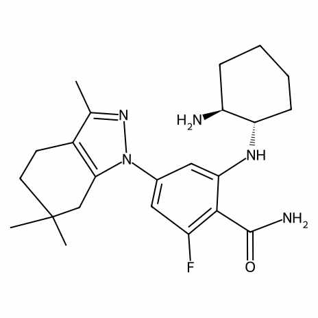 Cc1nn(-c2cc(F)c(C(N)=O)c(N[C@H]3CCCC[C@@H]3N)c2)c2c1CCC(C)(C)C2